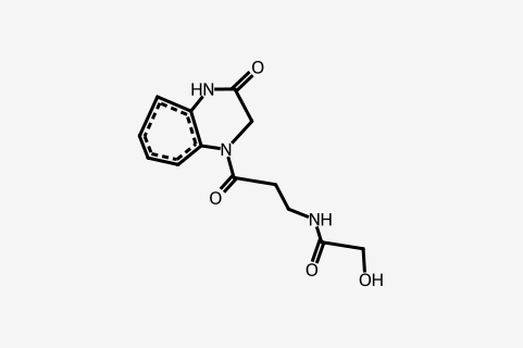 O=C(CO)NCCC(=O)N1CC(=O)Nc2ccccc21